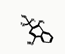 Nc1c(C(O)(C(F)(F)F)C(F)(F)F)cc(S(=O)(=O)O)c2ccccc12